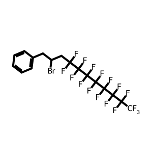 FC(F)(F)C(F)(F)C(F)(F)C(F)(F)C(F)(F)C(F)(F)C(F)(F)C(F)(F)CC(Br)Cc1ccccc1